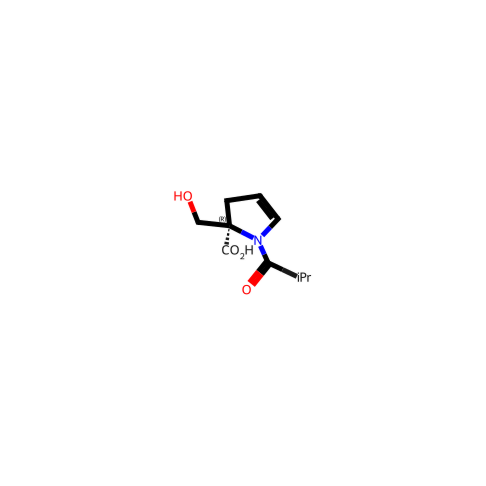 CC(C)C(=O)N1C=CC[C@@]1(CO)C(=O)O